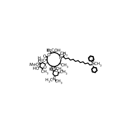 CC[C@H]1OC(=O)[C@H](C)[C@@H](C2C[C@@](C)(OC)[C@@H](O)[C@H](C)O2)C[C@@H](O[C@H]2C[C@@H](N(C)C)C[C@@H](C)O2)[C@](C)(O)C[C@@H](C)CN(C(=O)CCCCCCCCCCC[PH](C)(c2ccccc2)c2ccccc2)[C@H](C)C[C@]1(C)O